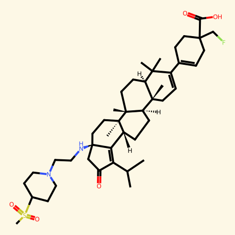 CC(C)C1=C2[C@H]3CC[C@@H]4[C@@]5(C)CC=C(C6=CCC(CF)(C(=O)O)CC6)C(C)(C)[C@@H]5CC[C@@]4(C)[C@]3(C)CC[C@@]2(NCCN2CCC(S(C)(=O)=O)CC2)CC1=O